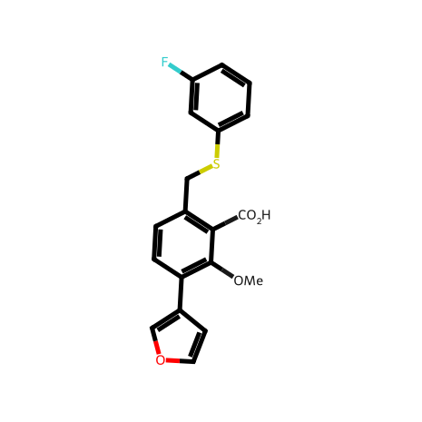 COc1c(-c2ccoc2)ccc(CSc2cccc(F)c2)c1C(=O)O